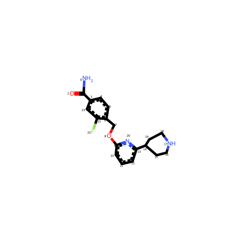 NC(=O)c1ccc(COc2cccc(C3CCNCC3)n2)c(F)c1